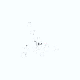 CC(C)(C)c1cc(-c2cccc3cccc(-c4ccccc4N(c4ccc(-c5ccc(-c6ccccc6)cc5)cc4)c4cccc(-c5cccc6c5oc5ccccc56)c4)c23)cc(C(C)(C)C)c1